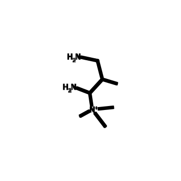 CC(CN)C(N)[N+](C)(C)C